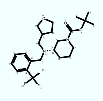 CC(C)(C)OC(=O)N1CCC[C@H](N(Cc2ccccc2C(F)(F)F)CC2CCOC2)C1